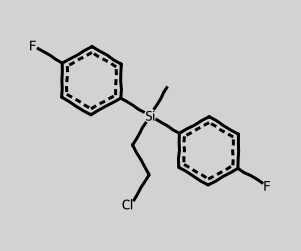 C[Si](CCCl)(c1ccc(F)cc1)c1ccc(F)cc1